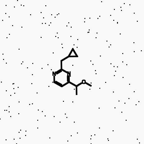 COC(C)c1c[c]nc(CC2CC2)n1